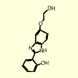 OCCOc1ccc2[nH]c(-c3ccccc3O)nc2c1